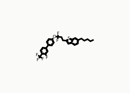 CCCCCc1ccc2cc(CCC(F)(F)Oc3ccc(-c4ccc(C(F)(F)F)c(F)c4)cc3)sc2c1